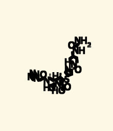 C[C@@H](NC(=O)Cn1cnnn1)[C@H]1C(=O)N2C(C(=O)O)=C(S[C@@H]3CN[C@H](C(=O)N4CCC(CNC(=O)CN)CC4)C3)[C@H](C)[C@H]12